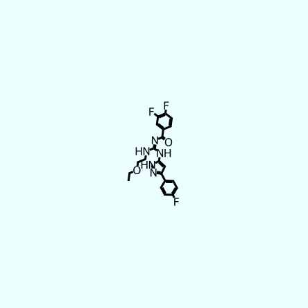 CCOCCN/C(=N/C(=O)c1ccc(F)c(F)c1)Nc1cc(-c2ccc(F)cc2)n[nH]1